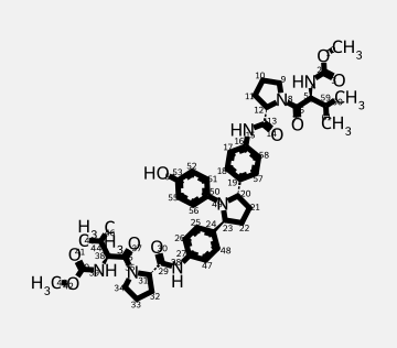 COC(=O)N[C@H](C(=O)N1CCC[C@H]1C(=O)Nc1ccc([C@@H]2CC[C@@H](c3ccc(NC(=O)[C@@H]4CCCN4C(=O)[C@@H](NC(=O)OC)C(C)C)cc3)N2c2ccc(O)cc2)cc1)C(C)C